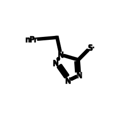 CCCCn1nnnc1[S]